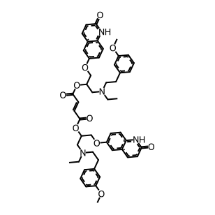 CCN(CCc1cccc(OC)c1)CC(COc1ccc2[nH]c(=O)ccc2c1)OC(=O)/C=C/C(=O)OC(COc1ccc2[nH]c(=O)ccc2c1)CN(CC)CCc1cccc(OC)c1